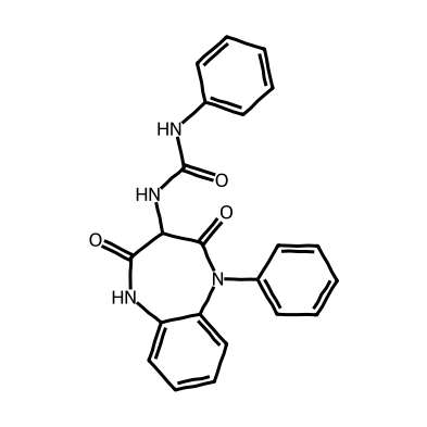 O=C(Nc1ccccc1)NC1C(=O)Nc2ccccc2N(c2ccccc2)C1=O